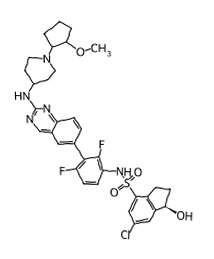 COC1CCCC1N1CCC(Nc2ncc3cc(-c4c(F)ccc(NS(=O)(=O)c5cc(Cl)cc6c5CC[C@H]6O)c4F)ccc3n2)CC1